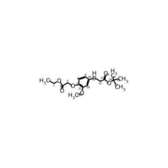 CCOC(=O)COc1ccc(NCC(=O)OC(C)(C)C)cc1OC